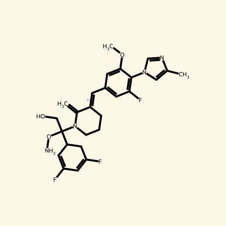 C=C1/C(=C/c2cc(F)c(-n3cnc(C)c3)c(OC)c2)CCCN1C(CO)(ON)C1C=C(F)C=C(F)C1